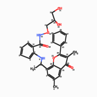 Cc1cc(C(C)Nc2ccccc2C(=O)NOC[C@H](O)CO)c2oc(-c3ccccc3)c(C)c(=O)c2c1